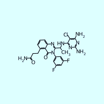 CC(Nc1nc(N)nc(N)c1Cl)c1nc2cccc(CCC(N)=O)c2c(=O)n1-c1cc(F)cc(F)c1